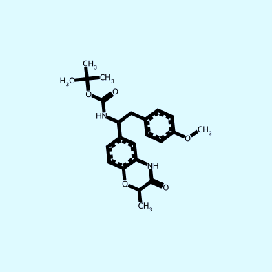 COc1ccc(CC(NC(=O)OC(C)(C)C)c2ccc3c(c2)NC(=O)C(C)O3)cc1